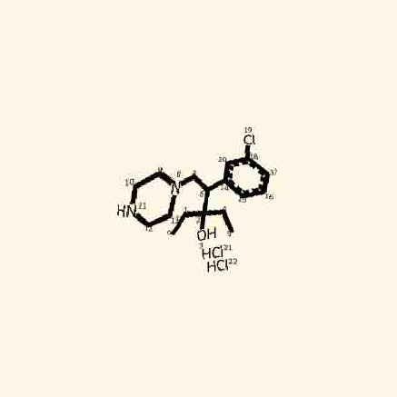 CCC(O)(CC)C(CN1CCNCC1)c1cccc(Cl)c1.Cl.Cl